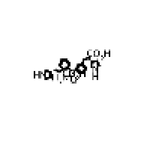 NC(=O)N(c1cccc(CC(C(=O)O)[C@H]2CCNC2)c1)C1C=CC=C[C@]1(CC[C@@H]1CCNC1)C(=O)O